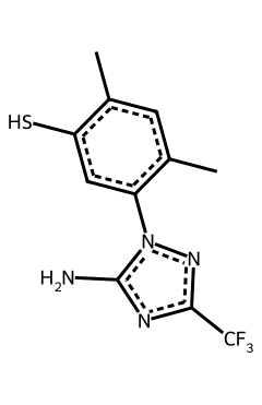 Cc1cc(C)c(-n2nc(C(F)(F)F)nc2N)cc1S